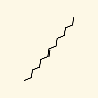 CCCCC[CH]C=CCCCCC